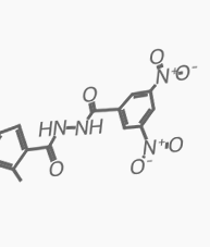 Cc1ccccc1C(=O)NNC(=O)c1cc([N+](=O)[O-])cc([N+](=O)[O-])c1